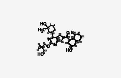 C[C@@]1(O)CCCN(c2nc(OCC3(CO)CC3)nc3c2CN(C(=O)c2cc(O)cc4cccc(I)c24)C3)C1